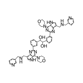 OC(c1cccc(-c2nc(N3CCOCC3)c3[nH]cc(CNCc4cccnc4)c3n2)c1)C(O)c1cccc(-c2nc(N3CCOCC3)c3[nH]cc(CNCc4cccnc4)c3n2)c1